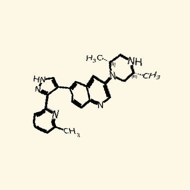 Cc1cccc(-c2n[nH]cc2-c2ccc3ncc(N4C[C@@H](C)NC[C@H]4C)cc3c2)n1